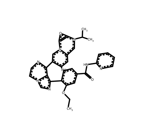 CCOc1cc(C(=O)Nc2ccccn2)ccc1-c1ncn2ccnc(-c3cn4c5oc=5n(C(C)C)cc4cc3N)c12